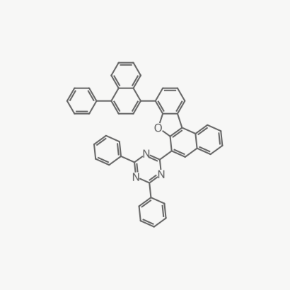 c1ccc(-c2nc(-c3ccccc3)nc(-c3cc4ccccc4c4c3oc3c(-c5ccc(-c6ccccc6)c6ccccc56)cccc34)n2)cc1